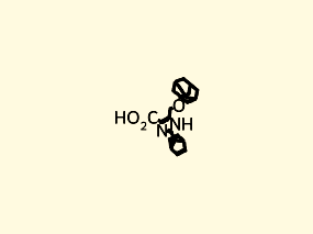 O=C(O)c1nc(C2C3C=CC2C=C3)[nH]c1COC12CC3CC(CC(C3)C1)C2